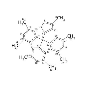 CC1=CCC(C(c2cc(C)cc(C)c2)(c2cc(C)cc(C)c2)c2cc(C)cc(C)c2)=C1